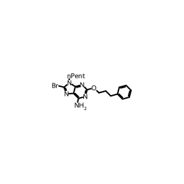 CCCCCn1c(Br)nc2c(N)nc(OCCCc3ccccc3)nc21